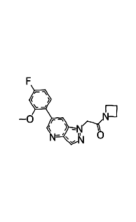 COc1cc(F)ccc1-c1cnc2cnn(CC(=O)N3CCC3)c2c1